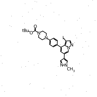 Cn1cc(-c2cc(-c3ccc(N4CCN(C(=O)OC(C)(C)C)CC4)cc3)c3c(I)cnn3c2)cn1